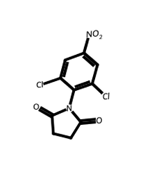 O=C1CCC(=O)N1c1c(Cl)cc([N+](=O)[O-])cc1Cl